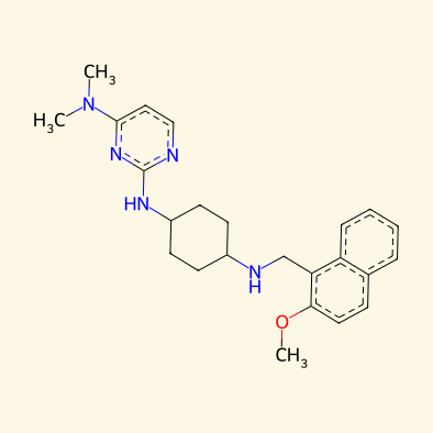 COc1ccc2ccccc2c1CNC1CCC(Nc2nccc(N(C)C)n2)CC1